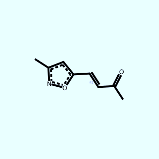 CC(=O)/C=C/c1cc(C)no1